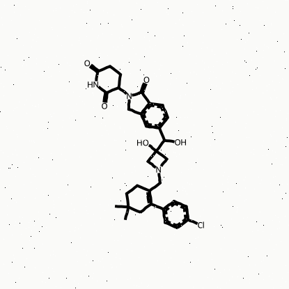 CC1(C)CCC(CN2CC(O)(C(O)c3ccc4c(c3)CN(C3CCC(=O)NC3=O)C4=O)C2)=C(c2ccc(Cl)cc2)C1